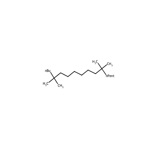 CCCCCC(C)(C)CC[CH]CCCC(C)(C)CCCC